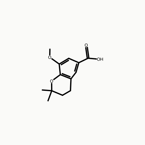 COc1cc(C(=O)O)cc2c1OC(C)(C)CC2